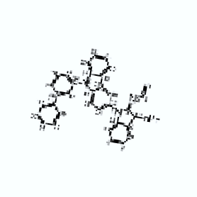 C=C/N=C1\C(CCC)c2ccccc2N1c1ccc2c(c1)c1ccccc1n2-c1cccc(-c2ccccc2)c1